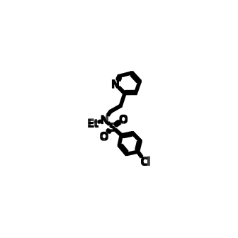 CCN(CCc1ccccn1)S(=O)(=O)c1ccc(Cl)cc1